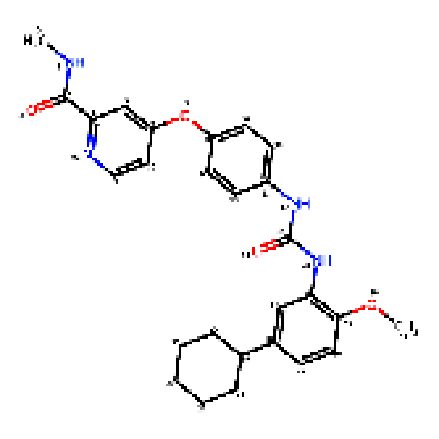 CNC(=O)c1cc(Oc2ccc(NC(=O)Nc3cc(C4CCCCC4)ccc3OC)cc2)ccn1